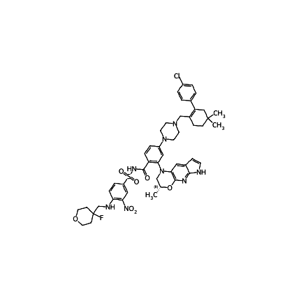 C[C@@H]1CN(c2cc(N3CCN(CC4=C(c5ccc(Cl)cc5)CC(C)(C)CC4)CC3)ccc2C(=O)NS(=O)(=O)c2ccc(NCC3(F)CCOCC3)c([N+](=O)[O-])c2)c2cc3cc[nH]c3nc2O1